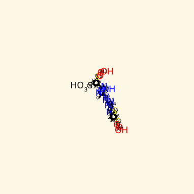 Cc1nn2c(-c3cc(SOOO)cc(S(=O)(=O)O)c3)n[nH]c2c1/N=N/c1ncn(-c2nc3ccc(SOOO)cc3s2)n1